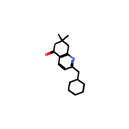 CC1(C)CC(=O)c2ccc(CC3CCCCC3)nc2C1